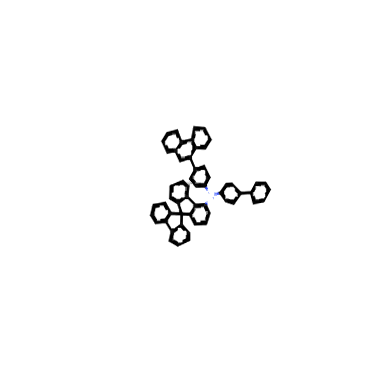 c1ccc(-c2ccc(N(c3ccc(-c4cc5ccccc5c5ccccc45)cc3)c3cccc4c3-c3ccccc3C43c4ccccc4-c4ccccc43)cc2)cc1